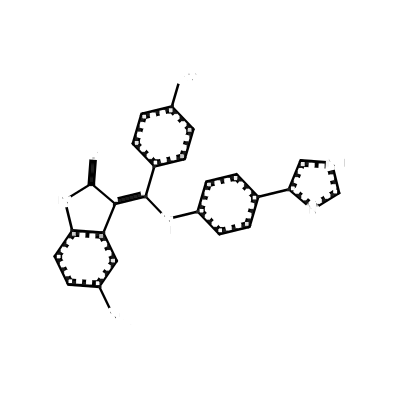 COc1ccc(C(Nc2ccc(-c3c[nH]cn3)cc2)=C2C(=O)Nc3ccc([N+](=O)[O-])cc32)cc1